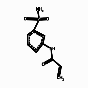 C=CC(=O)Nc1cccc(S(N)(=O)=O)c1